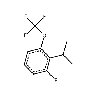 CC(C)c1c(F)cccc1OC(F)(F)F